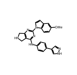 COc1ccc2c(ccn2-c2nc3c(c(Nc4ccc(-c5cn[nH]c5)cc4)n2)CNC3)c1